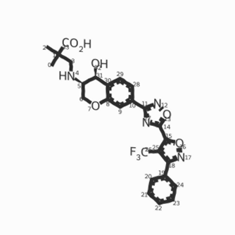 CC(C)(CN[C@@H]1COc2cc(-c3noc(-c4onc(-c5ccccc5)c4C(F)(F)F)n3)ccc2[C@@H]1O)C(=O)O